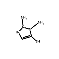 NN1NC=C(S)N1N